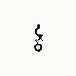 C=C/C=C\I1C[C@]1(C)N[C@@H]1C=CC=CC1